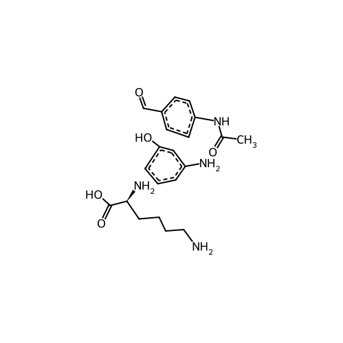 CC(=O)Nc1ccc(C=O)cc1.NCCCC[C@H](N)C(=O)O.Nc1cccc(O)c1